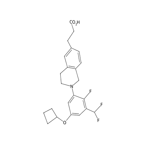 O=C(O)CCc1ccc2c(c1)CCN(c1cc(OC3CCC3)cc(C(F)F)c1F)C2